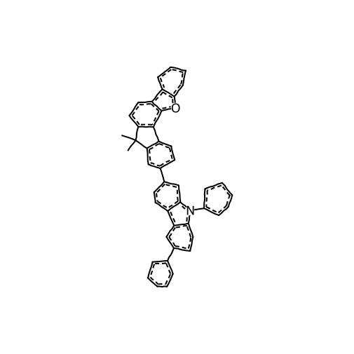 CC1(C)c2cc(-c3ccc4c5cc(-c6ccccc6)ccc5n(-c5ccccc5)c4c3)ccc2-c2c1ccc1c2oc2ccccc21